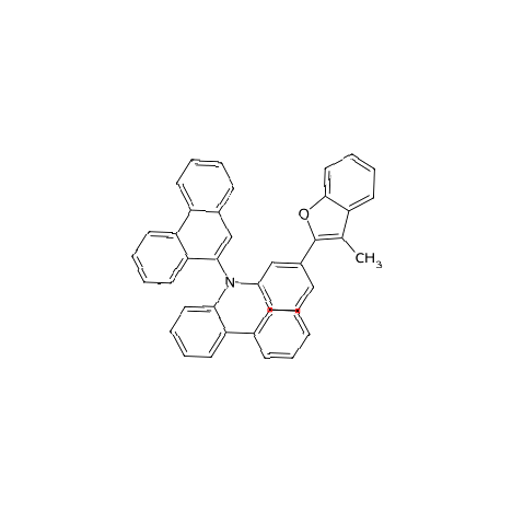 Cc1c(-c2cccc(N(c3ccccc3-c3ccccc3)c3cc4ccccc4c4ccccc34)c2)oc2ccccc12